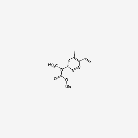 C=Cc1nnc(N(C(=O)O)C(=O)OC(C)(C)C)cc1C